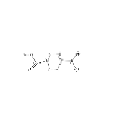 COC(=O)N1CC=C(B(O)O)CC1